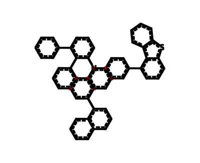 c1ccc(-c2ccccc2-c2c(-c3ccccc3)cccc2N(c2ccc(-c3cccc4sc5ccccc5c34)cc2)c2cccc(-c3cccc4ccccc34)c2)cc1